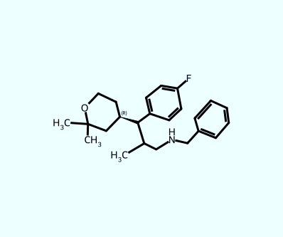 CC(CNCc1ccccc1)C(c1ccc(F)cc1)[C@@H]1CCOC(C)(C)C1